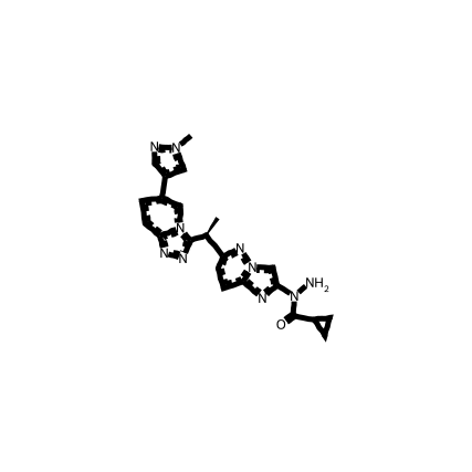 C[C@@H](c1ccc2nc(N(N)C(=O)C3CC3)cn2n1)c1nnc2ccc(-c3cnn(C)c3)cn12